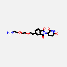 NCCOCCOCCc1ccc2c(c1)C(=O)N(C1CCC(=O)NC1=O)C2=O